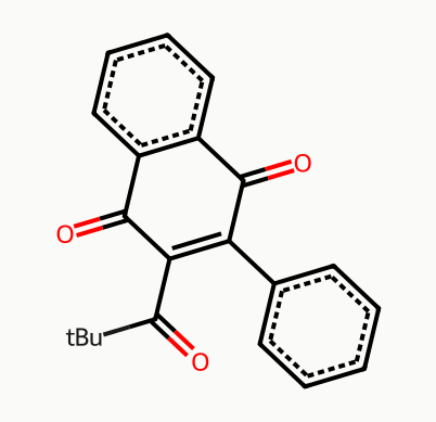 CC(C)(C)C(=O)C1=C(c2ccccc2)C(=O)c2ccccc2C1=O